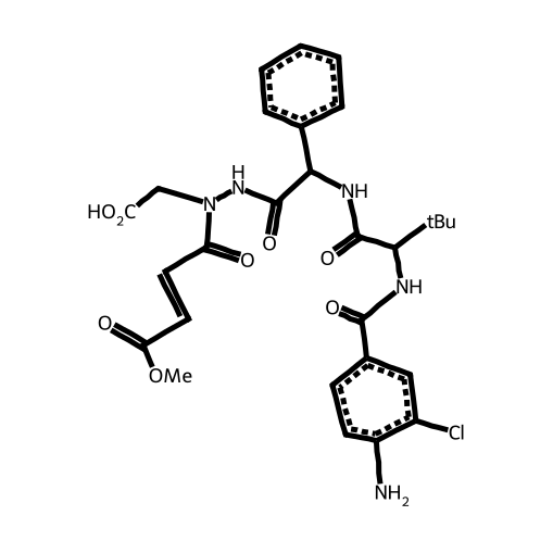 COC(=O)/C=C/C(=O)N(CC(=O)O)NC(=O)C(NC(=O)C(NC(=O)c1ccc(N)c(Cl)c1)C(C)(C)C)c1ccccc1